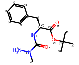 CN(N)C(=O)N[C@@H](Cc1ccccc1)C(=O)OC(C)(C)C